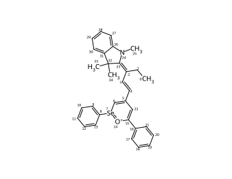 CCC(C=CC1=C[Se](c2ccccc2)=[O+]C(c2ccccc2)=C1)=C1N(C)c2ccccc2C1(C)C